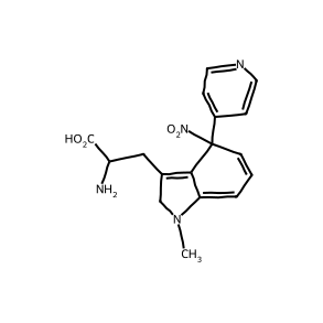 CN1CC(CC(N)C(=O)O)=C2C1=CC=CC2(c1ccncc1)[N+](=O)[O-]